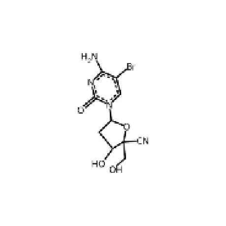 N#CC1(CO)OC(n2cc(Br)c(N)nc2=O)CC1O